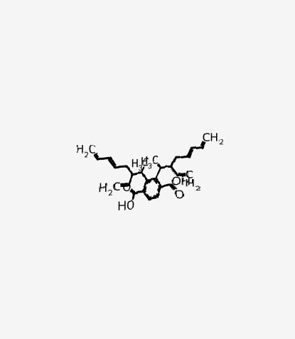 C=CC=CCC(C=C)C(C)c1c(C(=O)O)ccc(C(=O)O)c1C(C)C(C=C)CC=CC=C